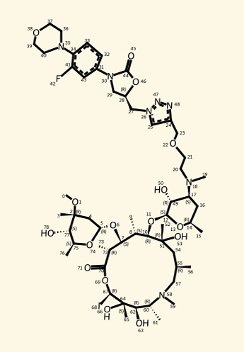 CO[C@]1(C)C[C@H](O[C@H]2[C@H](C)[C@@H](O[C@@H]3O[C@H](C)C[C@H](N(C)CCOCc4cn(C[C@H]5CN(c6ccc(N7CCOCC7)c(F)c6)C(=O)O5)nn4)[C@H]3O)[C@](C)(O)C[C@@H](C)CN(C)[C@H](C)[C@@H](O)[C@](C)(O)[C@@H](I)OC(=O)[C@@H]2C)O[C@@H](C)[C@@H]1O